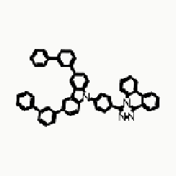 c1ccc(-c2cccc(-c3ccc4c(c3)c3cc(-c5cccc(-c6ccccc6)c5)ccc3n4-c3ccc(-c4nnc5c6ccccc6c6ccccc6n45)cc3)c2)cc1